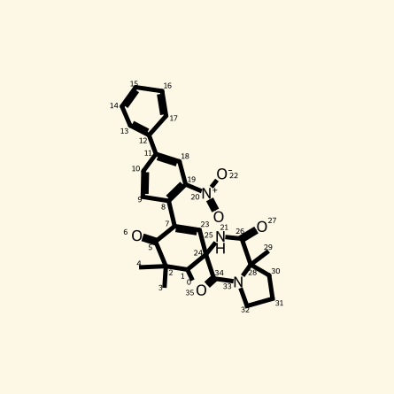 CC1C(C)(C)C(=O)C(c2ccc(-c3ccccc3)cc2[N+](=O)[O-])=CC12NC(=O)C1(C)CCCN1C2=O